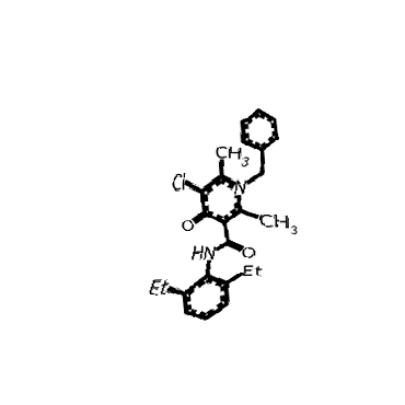 CCc1cccc(CC)c1NC(=O)c1c(C)n(Cc2ccccc2)c(C)c(Cl)c1=O